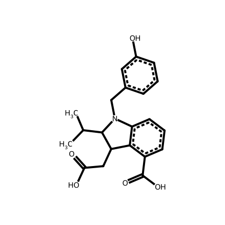 CC(C)C1C(CC(=O)O)c2c(C(=O)O)cccc2N1Cc1cccc(O)c1